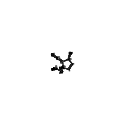 CCCC[O].O=C=C1NC=CC1=O